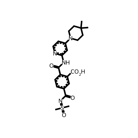 CC1(C)CCN(c2ccnc(NC(=O)c3ccc(C(=O)N=S(C)(C)=O)cc3C(=O)O)c2)CC1